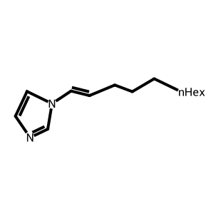 CCCCCCCCC/C=C/n1ccnc1